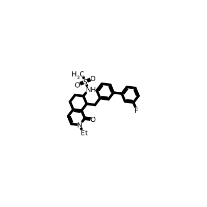 CCn1ccc2c(c1=O)C(Cc1cccc(-c3cccc(F)c3)c1)C(NS(C)(=O)=O)CC2